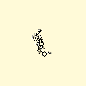 CC(=O)c1cccc(-n2ncc3c2C=C2CC[C@@H]4[C@H](C(=O)C[C@@]5(C)[C@H]4CC[C@]5(O)C(=O)CO)[C@@]2(C)C3)c1